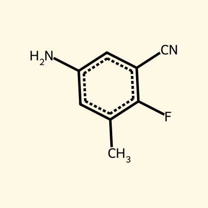 Cc1cc(N)cc(C#N)c1F